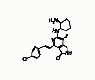 N[C@H]1CCCC[C@H]1Nc1nc(/C=C/c2ccc(Cl)cc2)c2c(c1F)CNC2=O